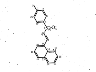 Cc1ccc([S@+]([O-])N=Cc2cccc3cccnc23)cc1